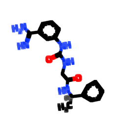 C[C@H](NC(=O)CNC(=O)Nc1cccc(C(=N)N)c1)c1ccccc1